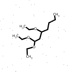 CCCCC(CC(OCC)OCC)OCC